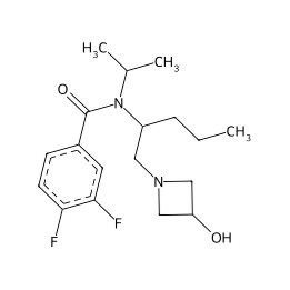 CCCC(CN1CC(O)C1)N(C(=O)c1ccc(F)c(F)c1)C(C)C